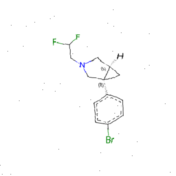 FC(F)CN1C[C@H]2C[C@@]2(c2ccc(Br)cc2)C1